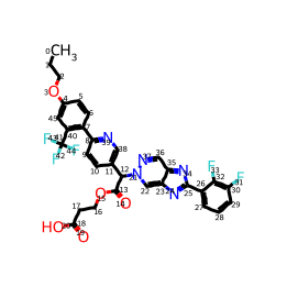 CCCOc1ccc(-c2ccc(C(C(=O)OCCC(=O)O)n3cc4nc(-c5cccc(F)c5F)nc-4cn3)cn2)c(C(F)(F)F)c1